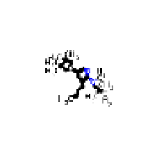 C=CCCc1cc(B2CC(C)(C)C(C)(C)C2)cnc1N(C)CC(C)(C)C